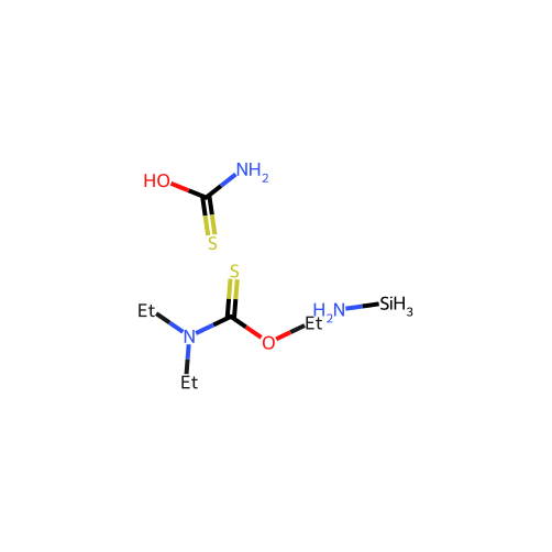 CCOC(=S)N(CC)CC.NC(O)=S.N[SiH3]